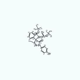 CC1=NN(c2ccc(Br)cc2)C(=O)C1(c1ccccc1)N(OC(=O)OC(C)(C)C)C(=O)OC(C)(C)C